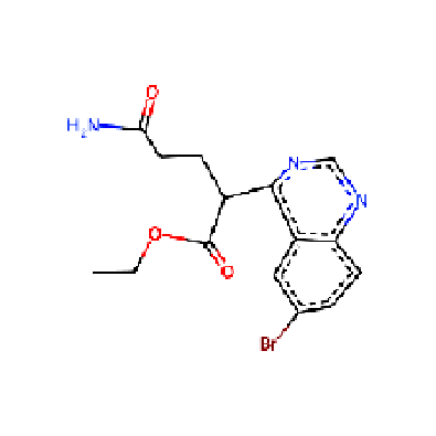 CCOC(=O)C(CCC(N)=O)c1ncnc2ccc(Br)cc12